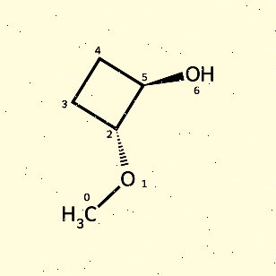 CO[C@@H]1CC[C@H]1O